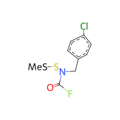 CSSN(Cc1ccc(Cl)cc1)C(=O)F